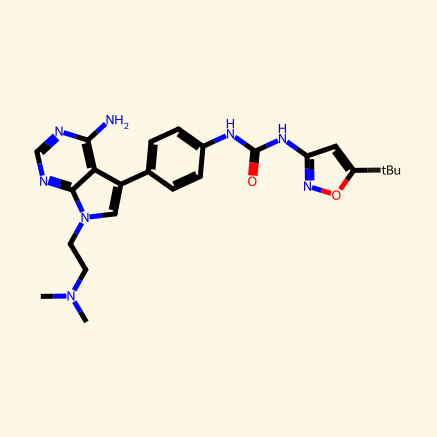 CN(C)CCn1cc(-c2ccc(NC(=O)Nc3cc(C(C)(C)C)on3)cc2)c2c(N)ncnc21